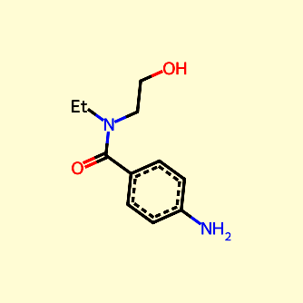 CCN(CCO)C(=O)c1ccc(N)cc1